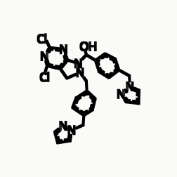 OC(c1ccc(Cn2cccn2)cc1)N1c2nc(Cl)nc(Cl)c2CN1Cc1ccc(Cn2cccn2)cc1